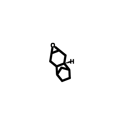 C1CC2CC1C1CC3OC3C[C@@H]21